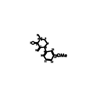 C=C1C(=O)N(C)CCC1c1cccc(OC)c1